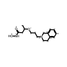 CC(CC(=O)NO)OCCCN1CCc2ccccc2C1